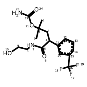 CC(C)(CC(C(=O)NCCO)c1cccc(C(F)(F)F)c1)OC(N)=O